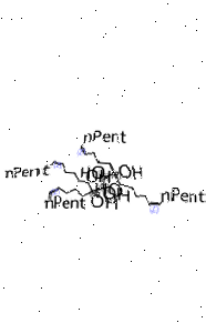 CCCCC/C=C\CCCC(O)[C@](O)(CCC/C=C\CCCCC)[C@@H](O)[C@H](O)[C@@](O)(CCC/C=C\CCCCC)C(O)CCC/C=C\CCCCC